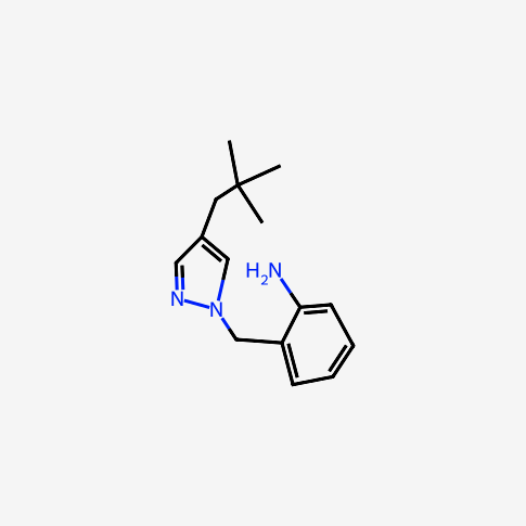 CC(C)(C)Cc1cnn(Cc2ccccc2N)c1